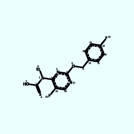 CCN(C(O)=S)c1nc(OCc2ccc(F)cc2)ncc1F